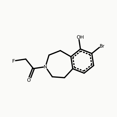 O=C(CF)N1CCc2ccc(Br)c(O)c2CC1